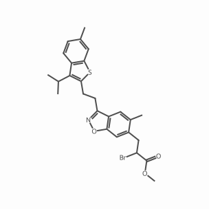 COC(=O)C(Br)Cc1cc2onc(CCc3sc4cc(C)ccc4c3C(C)C)c2cc1C